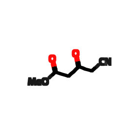 COC(=O)CC(=O)CC#N